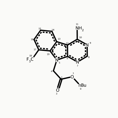 CCCCOC(=O)Cn1c2ncnc(N)c2c2cccc(C(F)(F)F)c21